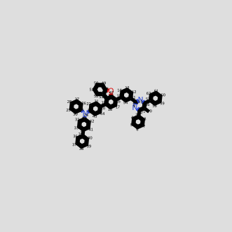 Cc1c(-c2ccccc2)nc(-c2cccc(-c3ccc(-c4ccc(N(c5ccccc5)c5ccc(-c6ccccc6)cc5)cc4)c4c3oc3ccccc34)c2)nc1-c1ccccc1